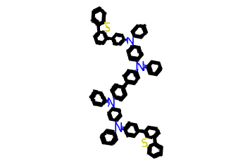 c1ccc(N(c2ccc(-c3ccc(N(c4ccccc4)c4ccc(N(c5ccccc5)c5ccc(-c6cccc7c6sc6ccccc67)cc5)cc4)cc3)cc2)c2ccc(N(c3ccccc3)c3ccc(-c4cccc5c4sc4ccccc45)cc3)cc2)cc1